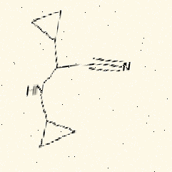 N#CC(NC1CC1)C1CC1